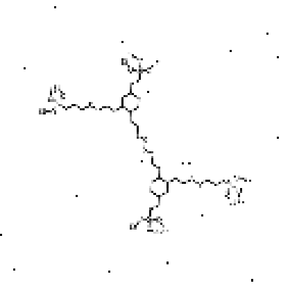 CCO[Si](CCCSSCCC1CC(CC[Si](OCC)(OCC)OCC)CCC1CCSSSSCCC1CCC(CC[Si](OCC)(OCC)OCC)CC1CCSSCCC[Si](OCC)(OCC)OCC)(OCC)OCC